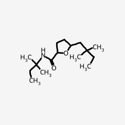 CCC(C)(C)CC1CCC(C(=O)NC(C)(C)CC)O1